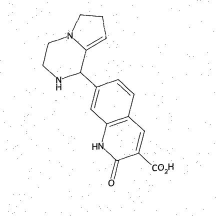 O=C(O)c1cc2ccc(C3NCCN4CCC=C34)cc2[nH]c1=O